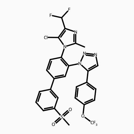 Cc1nc(C(F)F)c(Cl)n1-c1ccc(-c2cccc(S(C)(=O)=O)c2)cc1-n1nncc1-c1ccc(OC(F)(F)F)cc1